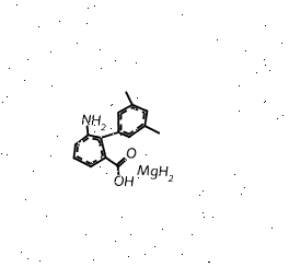 Cc1cc(C)cc(-c2c(N)cccc2C(=O)O)c1.[MgH2]